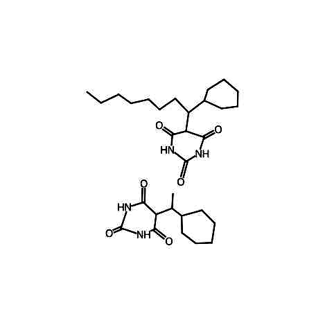 CC(C1CCCCC1)C1C(=O)NC(=O)NC1=O.CCCCCCCC(C1CCCCC1)C1C(=O)NC(=O)NC1=O